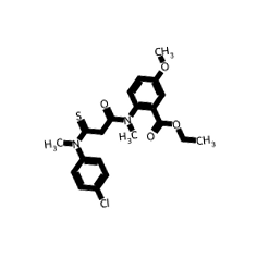 CCOC(=O)c1cc(OC)ccc1N(C)C(=O)CC(=S)N(C)c1ccc(Cl)cc1